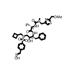 COCc1nc(CN(C)C(=O)N[C@H](C(=O)N[C@@H](Cc2ccccc2)[C@@H](O)CN(CC2CCC2)S(=O)(=O)c2ccc(C=NO)cc2)C(C)C)cs1